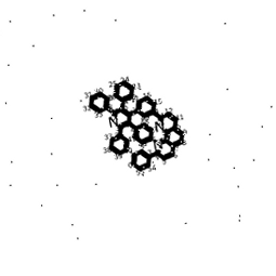 c1ccc(-c2ccc3ccc4ccc(-c5cccc(-c6c(-c7ccccc7)c(-c7ccccc7)nc(-c7ccccc7)c6-c6ccccc6)c5)nc4c3n2)cc1